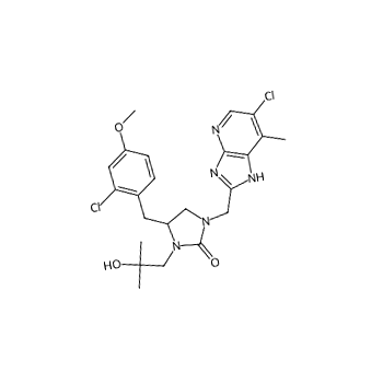 COc1ccc(CC2CN(Cc3nc4ncc(Cl)c(C)c4[nH]3)C(=O)N2CC(C)(C)O)c(Cl)c1